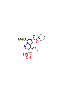 COc1cc(NC(=O)C2(C)CCCCC2)cc2c(C(F)(F)F)c(C(=O)NO)cnc12